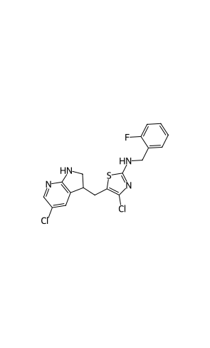 Fc1ccccc1CNc1nc(Cl)c(CC2CNc3ncc(Cl)cc32)s1